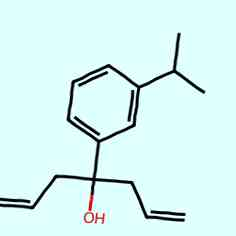 C=CCC(O)(CC=C)c1cccc(C(C)C)c1